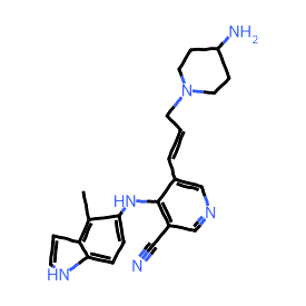 Cc1c(Nc2c(C#N)cncc2C=CCN2CCC(N)CC2)ccc2[nH]ccc12